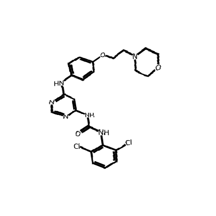 O=C(Nc1cc(Nc2ccc(OCCN3CCOCC3)cc2)ncn1)Nc1c(Cl)cccc1Cl